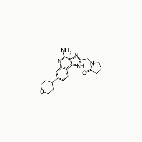 Nc1nc2cc(C3CCOCC3)ccc2c2[nH]c(CN3CCCC3=O)nc12